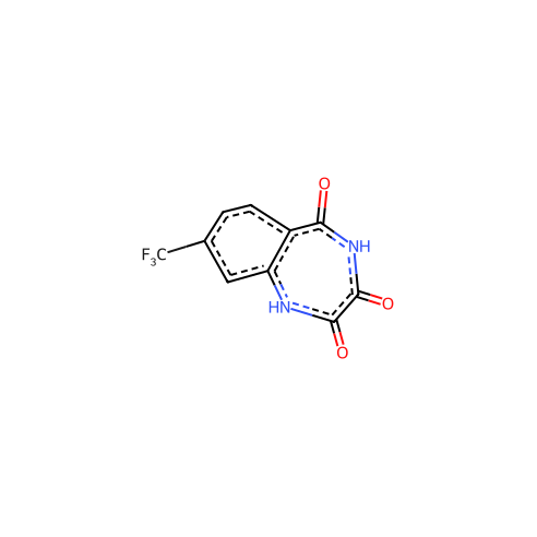 O=c1[nH]c(=O)c2ccc(C(F)(F)F)cc2[nH]c1=O